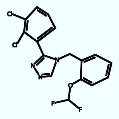 FC(F)Oc1ccccc1Cn1cnnc1-c1cccc(Cl)c1Cl